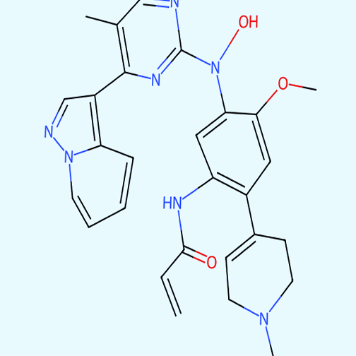 C=CC(=O)Nc1cc(N(O)c2ncc(C)c(-c3cnn4ccccc34)n2)c(OC)cc1C1=CCN(C)CC1